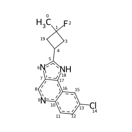 CC1(F)CC(c2nc3cnc4ccc(Cl)cc4c3[nH]2)C1